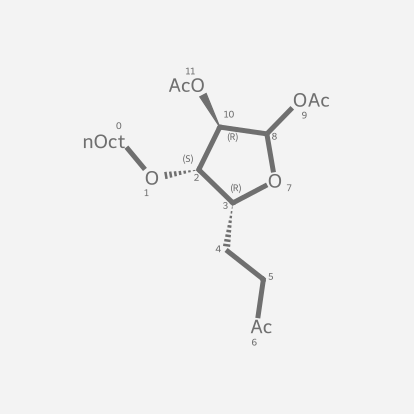 CCCCCCCCO[C@H]1[C@@H](CCC(C)=O)OC(OC(C)=O)[C@@H]1OC(C)=O